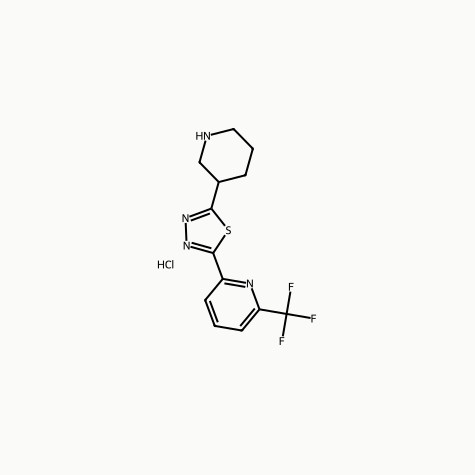 Cl.FC(F)(F)c1cccc(-c2nnc(C3CCCNC3)s2)n1